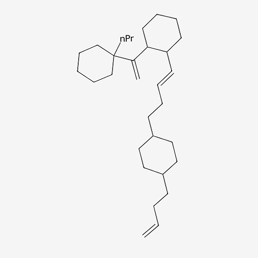 C=CCCC1CCC(CC/C=C/C2CCCCC2C(=C)C2(CCC)CCCCC2)CC1